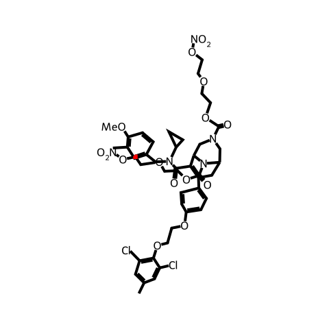 COc1ccc(CN(C(=O)C2=C(c3ccc(OCCOc4c(Cl)cc(C)cc4Cl)cc3)CC3CN(C(=O)OCCOCCO[N+](=O)[O-])CC2N3C(=O)OCCOCCO[N+](=O)[O-])C2CC2)cc1C